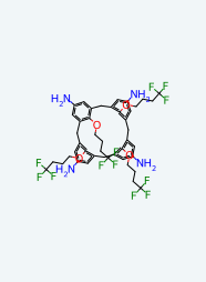 Nc1cc2c(OCCCC(F)(F)F)c(c1)Cc1cc(N)cc(c1OCCCC(F)(F)F)Cc1cc(N)cc(c1OCCCC(F)(F)F)Cc1cc(N)cc(c1OCCCC(F)(F)F)C2